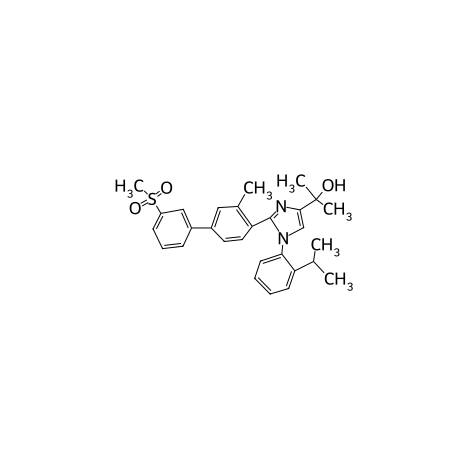 Cc1cc(-c2cccc(S(C)(=O)=O)c2)ccc1-c1nc(C(C)(C)O)cn1-c1ccccc1C(C)C